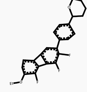 CCOc1ccc2c(c1F)-c1c-2cc(-c2ccc(C3CCCCO3)cc2)c(F)c1F